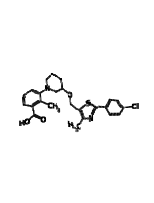 Cc1nc(-c2ccc(Cl)cc2)sc1COC1CCCN(c2cccc(C(=O)O)c2C)C1